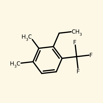 CCc1c(C(F)(F)F)ccc(C)c1C